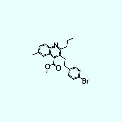 CCCc1nc2ccc(C)cc2c(C(=O)OC)c1CCc1ccc(Br)cc1